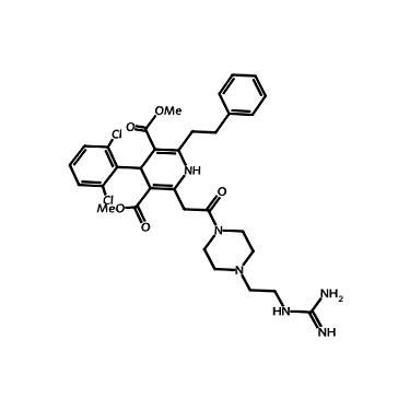 COC(=O)C1=C(CCc2ccccc2)NC(CC(=O)N2CCN(CCNC(=N)N)CC2)=C(C(=O)OC)C1c1c(Cl)cccc1Cl